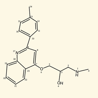 CNCC(O)COc1cc(-c2ccc(C)cc2)nc2ccccc12